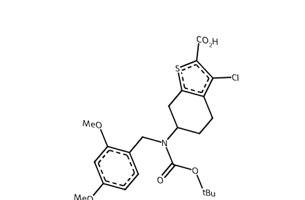 COc1ccc(CN(C(=O)OC(C)(C)C)C2CCc3c(sc(C(=O)O)c3Cl)C2)c(OC)c1